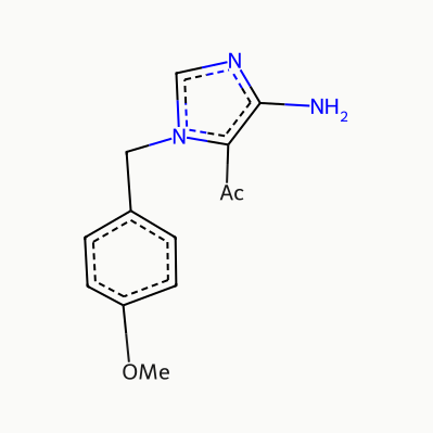 COc1ccc(Cn2cnc(N)c2C(C)=O)cc1